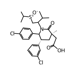 CC(C)C(C[S+]([O-])C(C)C)N1C(=O)[C@@](C)(CC(=O)O)C[C@H](c2cccc(Cl)c2)C1c1ccc(Cl)cc1